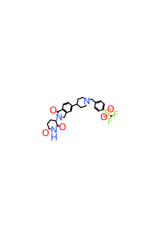 O=C1CCC(N2Cc3cc(C4CCN(Cc5ccc(S(=O)(=O)C(F)F)cc5)CC4)ccc3C2=O)C(=O)N1